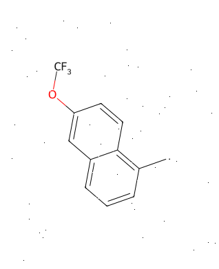 [CH2]c1cccc2cc(OC(F)(F)F)ccc12